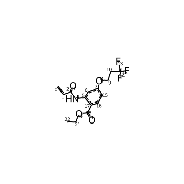 C=CC(=O)Nc1cc(OCCC(F)(F)F)ccc1C(=O)OCC